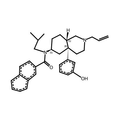 C=CCN1CC[C@@]2(c3cccc(O)c3)C[C@@H](N(CC(C)C)C(=O)c3ccc4ccccc4c3)CC[C@@H]2C1